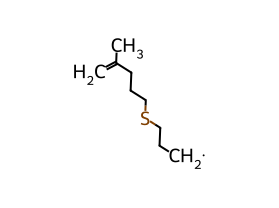 [CH2]CCSCCCC(=C)C